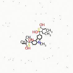 CC=C1C(=CC)C(O)(c2ccc3c(c2)c2cc(C4(O)SC(O)C(=CC)C4=CC)ccc2n3C)SC1O